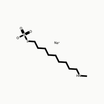 CNCCCCCCCCCSS(=O)(=O)[O-].[Na+]